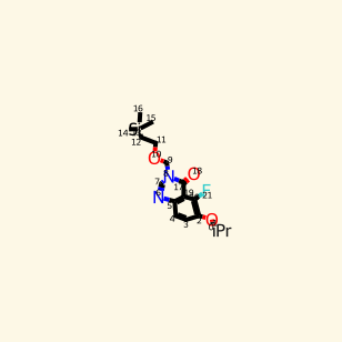 CC(C)Oc1ccc2ncn(COCC[Si](C)(C)C)c(=O)c2c1F